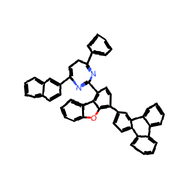 C1=C(c2ccc3ccccc3c2)N=C(c2ccc(-c3ccc4c5ccccc5c5ccccc5c4c3)c3oc4ccccc4c23)N=C(c2ccccc2)C1